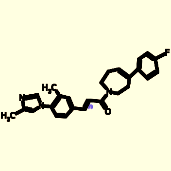 Cc1cn(-c2ccc(/C=C/C(=O)N3CCC=C(c4ccc(F)cc4)CC3)cc2C)cn1